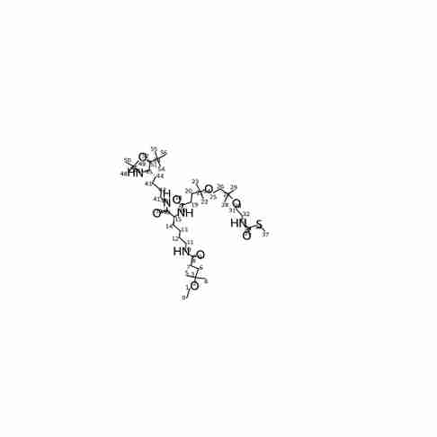 CCOC(C)(C)CCC(=O)NCCCC[C@H](NC(=O)CCC(C)(C)OCCC(C)(C)OCCNC(=O)SC)C(=O)NCCCC[C@H](NC(C)(C)C)C(=O)C(C)(C)C